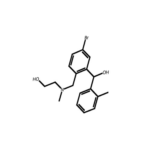 Cc1ccccc1C(O)c1cc(Br)ccc1CN(C)CCO